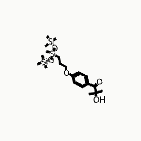 CC(C)(O)C(=O)c1ccc(OCCC[Si](C)(O[Si](C)(C)C)O[Si](C)(C)C)cc1